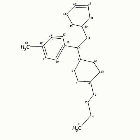 CCCCC1CCC(C(CC2CC=CCC2)c2ccc(C)cc2)CC1